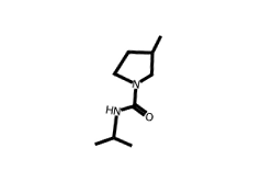 CC1CCN(C(=O)NC(C)C)C1